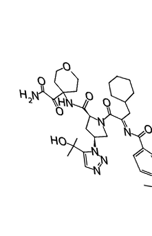 CC(C)(O)c1ccc(C(=O)/N=C(\CC2CCCCC2)C(=O)N2C[C@@H](n3nncc3C(C)(C)O)C[C@H]2C(=O)NC2(C(=O)C(N)=O)CCOCC2)cc1